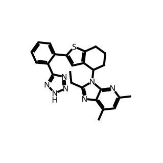 CCc1nc2c(C)cc(C)nc2n1C1CCCc2sc(-c3ccccc3-c3nn[nH]n3)cc21